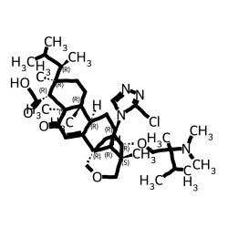 CC(C)[C@@H](C)[C@@]1(C)CC[C@]2(C)[C@H]3CC[C@@H]4[C@@]5(COC[C@@]4(C)[C@@H](OCC(C)(C(C)C)N(C)C)[C@H](n4cnnc4Cl)C5)C3=CC(=O)[C@@]2(C)[C@@H]1C(=O)O